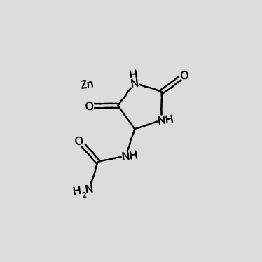 NC(=O)NC1NC(=O)NC1=O.[Zn]